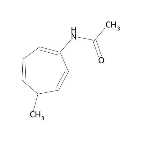 CC(=O)NC1=CC=CC(C)C=C1